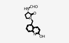 O=CN[C@H]1CCN(Cc2cccc3nc(O)ccc23)C1=O